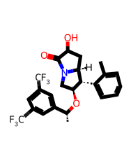 Cc1ccccc1[C@@H]1[C@@H](O[C@H](C)c2cc(C(F)(F)F)cc(C(F)(F)F)c2)CN2C(=O)C(O)C[C@@H]12